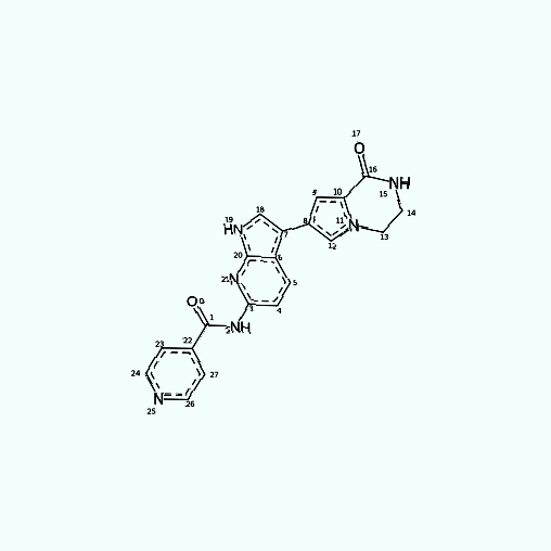 O=C(Nc1ccc2c(-c3cc4n(c3)CCNC4=O)c[nH]c2n1)c1ccncc1